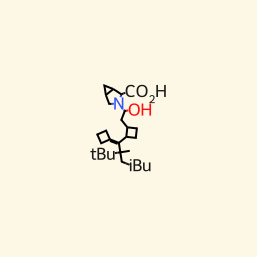 CCC(C)CC(C)(C(=C1CCC1)C1CCC1CC(O)N1CC2CC2C1C(=O)O)C(C)(C)C